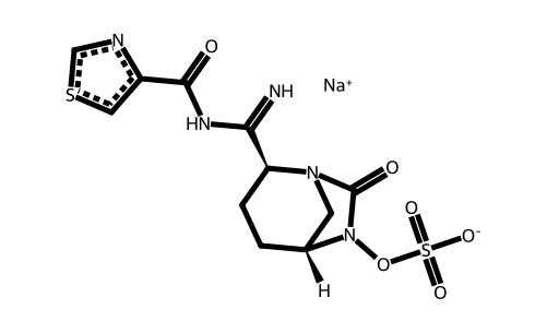 N=C(NC(=O)c1cscn1)[C@@H]1CC[C@@H]2CN1C(=O)N2OS(=O)(=O)[O-].[Na+]